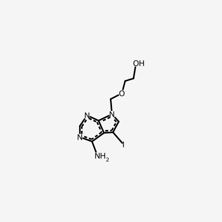 Nc1ncnc2c1c(I)cn2COCCO